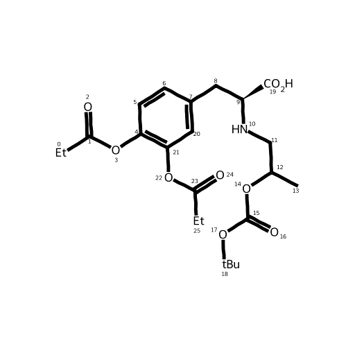 CCC(=O)Oc1ccc(C[C@H](NCC(C)OC(=O)OC(C)(C)C)C(=O)O)cc1OC(=O)CC